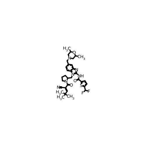 CC1CN(Cc2ccc3c(c2)nc(NC(=O)c2ccc(C(F)F)s2)n3CC2CCCN2C(=O)C(C#N)=CC(C)(C)C)CC(C)O1